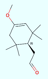 COC1=CC(C)(C)[C@@H](CC=O)C(C)(C)C1